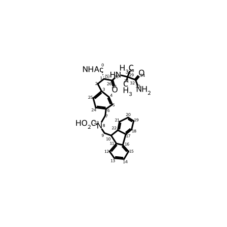 CC(=O)N[C@@H](Cc1ccc(CN(CC2c3ccccc3-c3ccccc32)C(=O)O)cc1)C(=O)NC(C)(C)C(N)=O